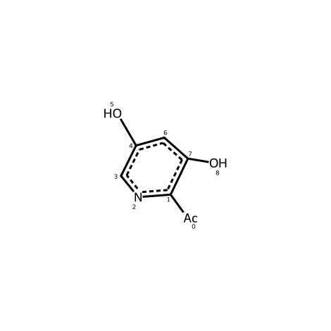 CC(=O)c1ncc(O)cc1O